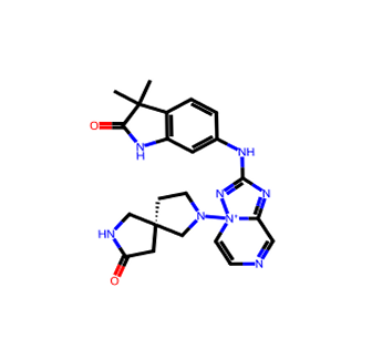 CC1(C)C(=O)Nc2cc(NC3=N[N+]4(N5CC[C@]6(CNC(=O)C6)C5)C=CN=CC4=N3)ccc21